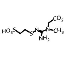 CN(CC(=O)O)/C(N)=N/SCCS(=O)(=O)O